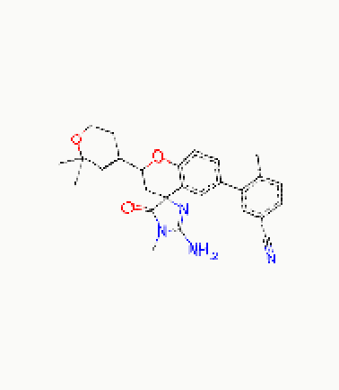 Cc1ccc(C#N)cc1-c1ccc2c(c1)C1(CC(C3CCOC(C)(C)C3)O2)N=C(N)N(C)C1=O